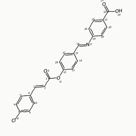 O=C(/C=C/c1ccc(Cl)cc1)Oc1ccc(/C=N/c2ccc(C(=O)O)cc2)cc1